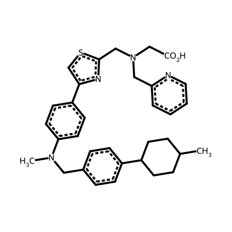 CC1CCC(c2ccc(CN(C)c3ccc(-c4csc(CN(CC(=O)O)Cc5ccccn5)n4)cc3)cc2)CC1